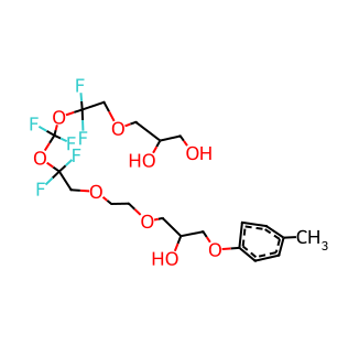 Cc1ccc(OCC(O)COCCOCC(F)(F)OC(F)(F)OC(F)(F)COCC(O)CO)cc1